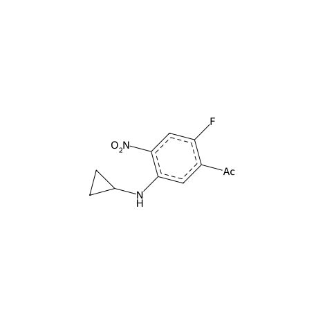 CC(=O)c1cc(NC2CC2)c([N+](=O)[O-])cc1F